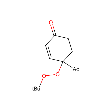 CC(=O)C1(OOC(C)(C)C)C=CC(=O)CC1